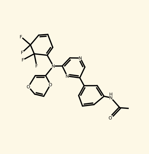 CC(=O)Nc1cccc(-c2cncc(N(C3=COC=CO3)C3=CC=CC(F)(F)C3(F)F)n2)c1